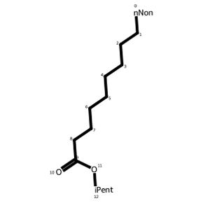 CCCCCCCCCCCCCCCCCC(=O)OC(C)CCC